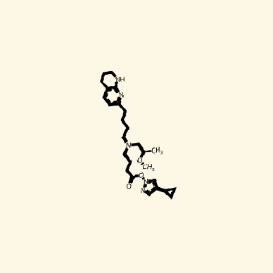 CO[C@H](C)CN(CCCCc1ccc2c(n1)NCCC2)CCCC(=O)On1cc(C2CC2)cn1